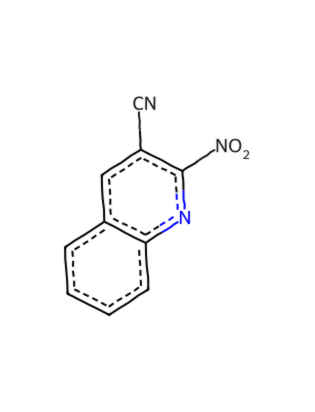 N#Cc1cc2ccccc2nc1[N+](=O)[O-]